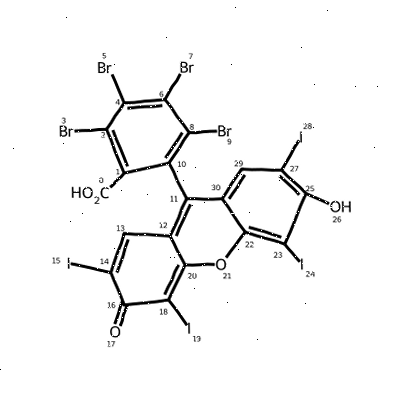 O=C(O)c1c(Br)c(Br)c(Br)c(Br)c1-c1c2cc(I)c(=O)c(I)c-2oc2c(I)c(O)c(I)cc12